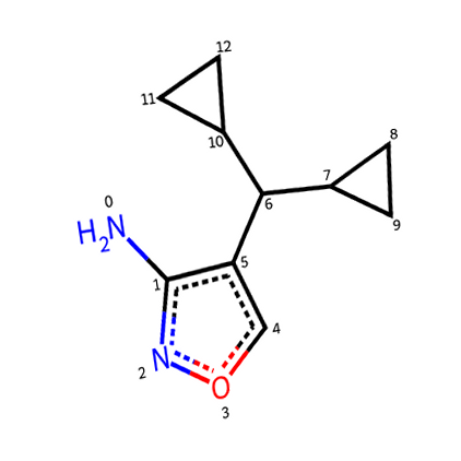 Nc1nocc1C(C1CC1)C1CC1